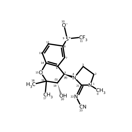 CN1CCN([C@@H]2c3cc([S+]([O-])C(F)(F)F)ccc3OC(C)(C)[C@H]2O)C1=NC#N